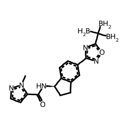 BC(B)(B)c1nc(-c2ccc3c(c2)CC[C@H]3NC(=O)c2ccnn2C)no1